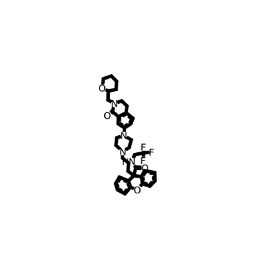 O=C1c2cc(N3CCN(CCCC4(C(=O)NCC(F)(F)F)c5ccccc5Oc5ccccc54)CC3)ccc2CCN1CC1CCCCO1